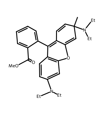 CCN(CC)c1ccc2c(c1)OC1=CC(C)(N(CC)CC)C=CC1=C2c1ccccc1C(=O)OC